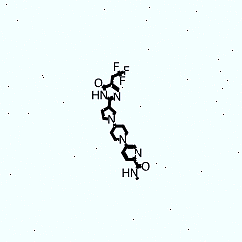 CNC(=O)c1ccc(N2CCC(N3CCC(c4ncc(CC(F)(F)F)c(=O)[nH]4)C3)CC2)cn1